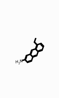 CCc1cccc2cc3ccc(N)cc3cc12